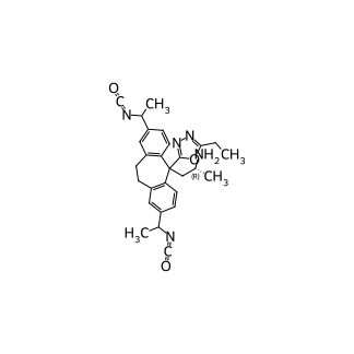 CCc1nnc(C2(C[C@@H](C)N)c3ccc(C(C)N=C=O)cc3CCc3cc(C(C)N=C=O)ccc32)o1